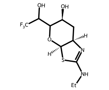 CCNC1=N[C@@H]2C[C@H](O)C(C(O)C(F)(F)F)O[C@@H]2S1